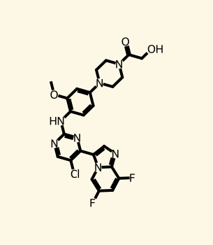 COc1cc(N2CCN(C(=O)CO)CC2)ccc1Nc1ncc(Cl)c(-c2cnc3c(F)cc(F)cn23)n1